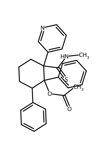 CNC(=S)C1(c2cccnc2)CCCC(c2ccccc2)C1(OC(C)=O)c1ccccc1